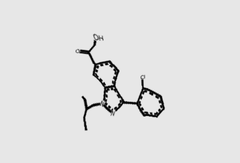 CC(C)n1nc(-c2ccccc2Cl)c2ccc(C(=O)O)cc21